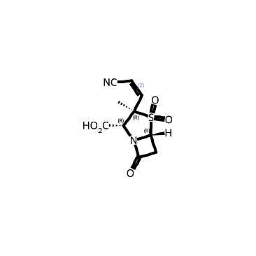 C[C@@]1(/C=C\C#N)[C@@H](C(=O)O)N2C(=O)C[C@H]2S1(=O)=O